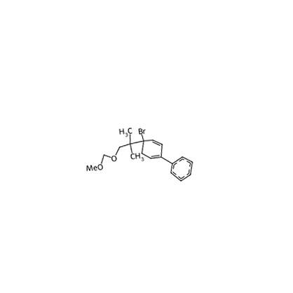 COCOCC(C)(C)C1(Br)C=CC(c2ccccc2)=CC1